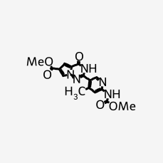 COC(=O)Nc1cc(C)c(-c2nn3cc(C(=O)OC)cc3c(=O)[nH]2)cn1